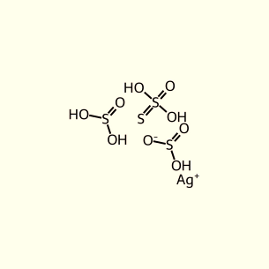 O=S(O)(O)=S.O=S(O)O.O=S([O-])O.[Ag+]